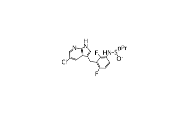 CCC[S+]([O-])Nc1ccc(F)c(Cc2c[nH]c3ncc(Cl)cc23)c1F